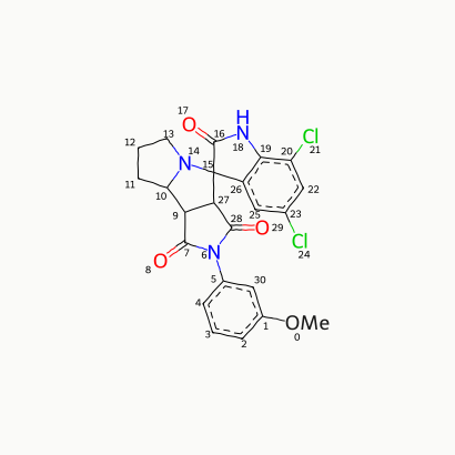 COc1cccc(N2C(=O)C3C4CCCN4C4(C(=O)Nc5c(Cl)cc(Cl)cc54)C3C2=O)c1